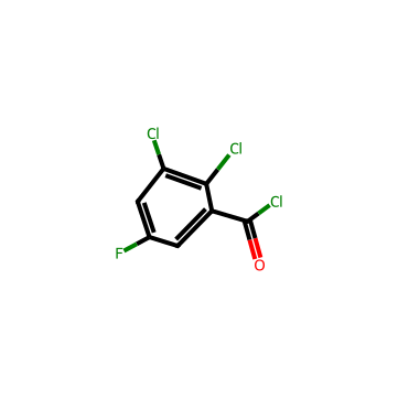 O=C(Cl)c1cc(F)cc(Cl)c1Cl